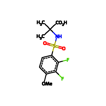 COc1ccc(S(=O)(=O)NC(C)(C)C(=O)O)c(F)c1F